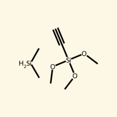 C#C[Si](OC)(OC)OC.C[SiH2]C